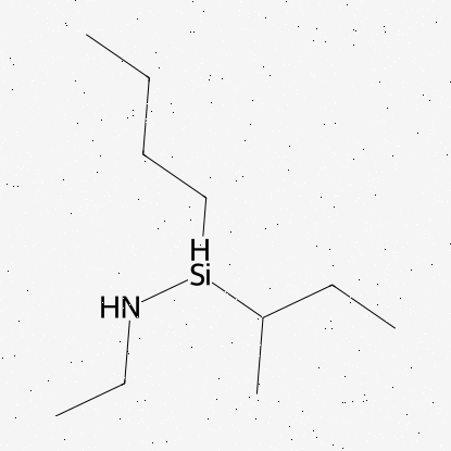 CCCC[SiH](NCC)C(C)CC